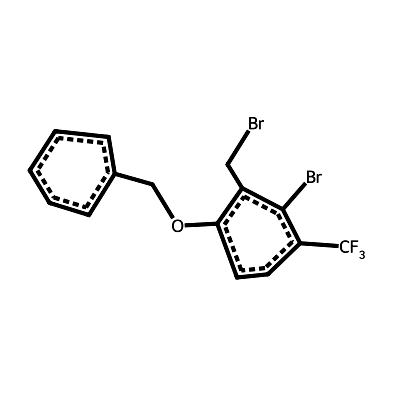 FC(F)(F)c1ccc(OCc2ccccc2)c(CBr)c1Br